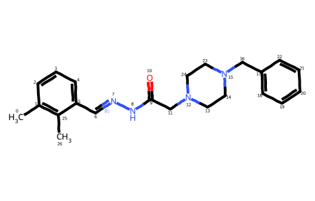 Cc1cccc(/C=N/NC(=O)CN2CCN(Cc3ccccc3)CC2)c1C